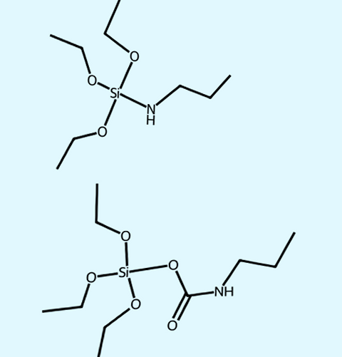 CCCNC(=O)O[Si](OCC)(OCC)OCC.CCCN[Si](OCC)(OCC)OCC